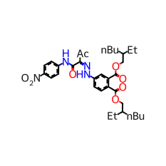 CCCCC(CC)COC(=O)c1ccc(N/N=C(/C(C)=O)C(=O)Nc2ccc([N+](=O)[O-])cc2)cc1C(=O)OCC(CC)CCCC